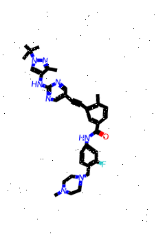 Cc1ccc(C(=O)Nc2ccc(CN3CCN(C)CC3)c(F)c2)cc1C#Cc1cnc(Nc2cn(C(C)(C)C)nc2C)nc1